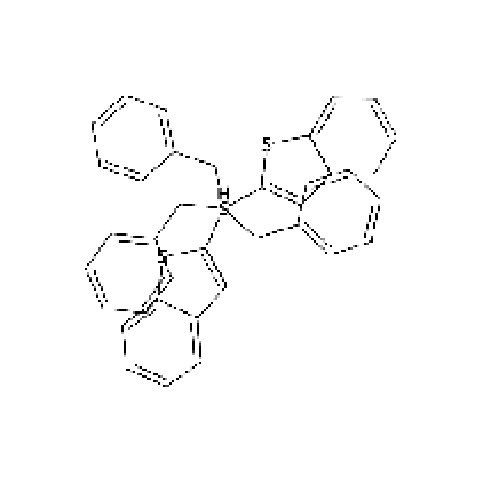 c1ccc(C[SH](Cc2ccccc2)(Cc2ccccc2)(c2cc3ccccc3s2)c2cc3ccccc3s2)cc1